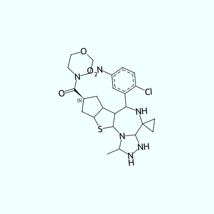 CC1NNC2N1C1SC3C[C@@H](C(=O)N4CCOCC4)CC3C1C(c1cc([N+](=O)[O-])ccc1Cl)NC21CC1